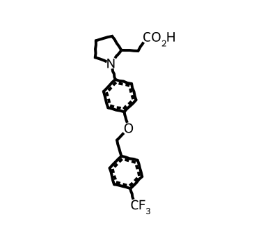 O=C(O)CC1CCCN1c1ccc(OCc2ccc(C(F)(F)F)cc2)cc1